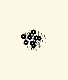 CC1(C)CC(C)(C)c2cc(N3c4cc5c(cc4B4c6ccccc6C(C)(C)c6cc(N(c7ccccc7)c7ccccc7)cc3c64)C(C)(C)CC5(C)C)ccc21